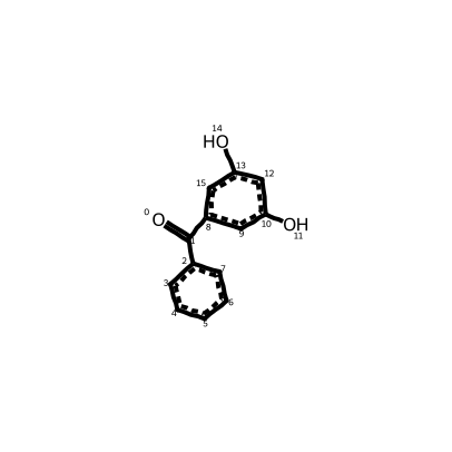 O=C(c1ccccc1)c1cc(O)cc(O)c1